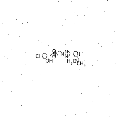 CN(C)Cc1cc(-c2cnc(N3CCN(S(=O)(=O)C=Cc4ccc(Cl)cc4O)CC3)nc2)ccn1